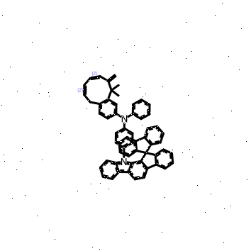 C=C1/C=C\C=C/Cc2ccc(N(c3ccccc3)c3ccc(-n4c5ccccc5c5ccc6c(c54)C4(c5ccccc5-c5ccccc54)c4ccccc4-6)cc3)cc2C1(C)C